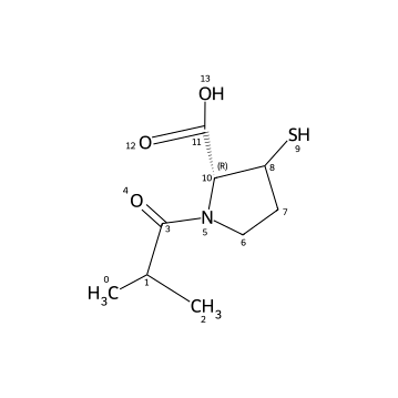 CC(C)C(=O)N1CCC(S)[C@H]1C(=O)O